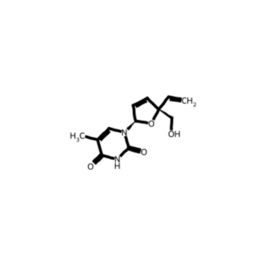 C=C[C@@]1(CO)C=C[C@H](n2cc(C)c(=O)[nH]c2=O)O1